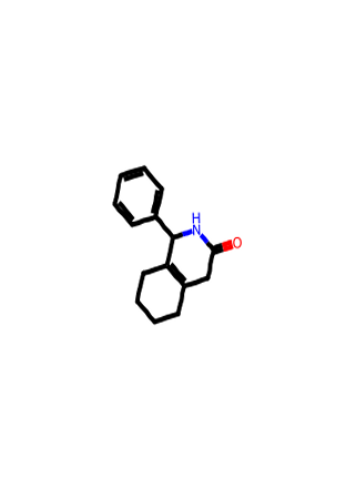 O=C1CC2=C(CCCC2)C(c2ccccc2)N1